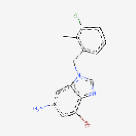 Cc1c(Cl)cccc1Cn1cnc2c(Br)cc(N)cc21